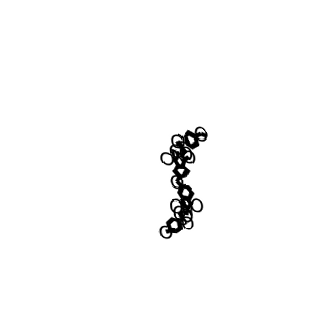 COc1ccc(S(=O)(=O)ON2C(=O)c3ccc(Oc4ccc5c(c4)C(=O)N(OS(=O)(=O)c4ccc(OC)cc4)C5=O)cc3C2=O)cc1